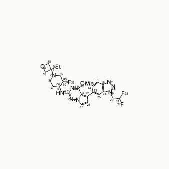 CCC1(N2CC[C@H](Nc3nc(OC)c4c(-c5ccc6nnn(CC(F)F)c6c5)ccn4n3)[C@H](F)C2)COC1